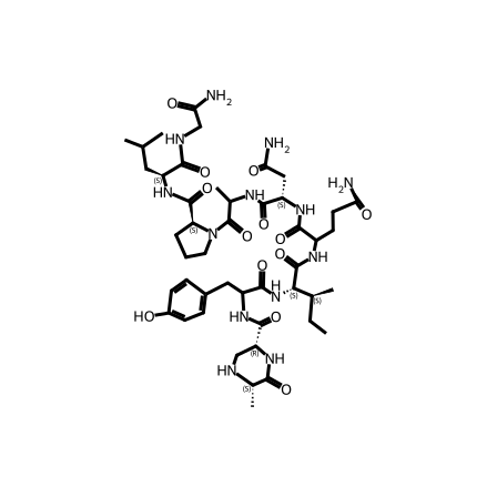 CC[C@H](C)[C@H](NC(=O)C(Cc1ccc(O)cc1)NC(=O)[C@H]1CN[C@@H](C)C(=O)N1)C(=O)NC(CCC(N)=O)C(=O)N[C@@H](CC(N)=O)C(=O)NC(C)C(=O)N1CCC[C@H]1C(=O)N[C@@H](CC(C)C)C(=O)NCC(N)=O